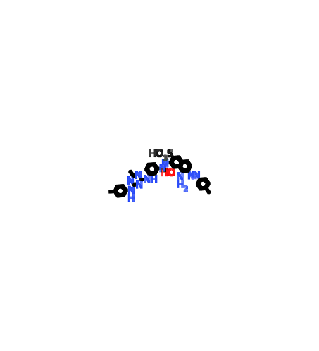 Cc1ccc(/N=N/c2ccc3cc(S(=O)(=O)O)c(/N=N/c4cccc(Nc5nc(C)nc(Nc6ccc(C)cc6)n5)c4)c(O)c3c2N)cc1